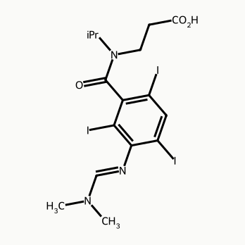 CC(C)N(CCC(=O)O)C(=O)c1c(I)cc(I)c(N=CN(C)C)c1I